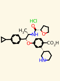 C[C@H](NC(=O)[C@@H]1CCCO1)[C@H](Oc1ccc(C(=O)O)c([C@@H]2CCCNC2)c1)c1ccc(C2CC2)cc1.Cl